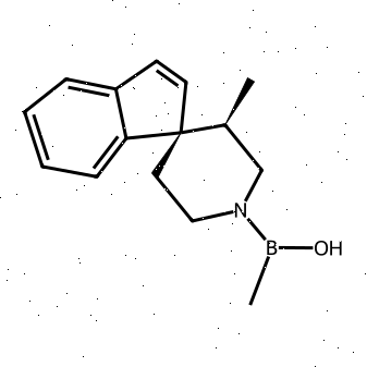 CB(O)N1CC[C@@]2(C=Cc3ccccc32)[C@@H](C)C1